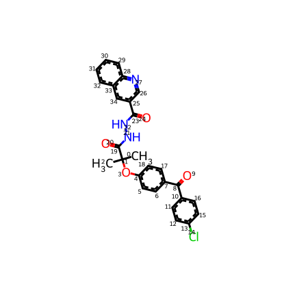 CC(C)(Oc1ccc(C(=O)c2ccc(Cl)cc2)cc1)C(=O)NNC(=O)c1cnc2ccccc2c1